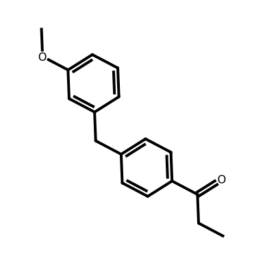 CCC(=O)c1ccc(Cc2cccc(OC)c2)cc1